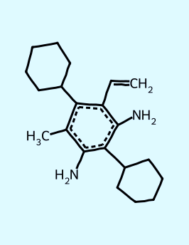 C=Cc1c(N)c(C2CCCCC2)c(N)c(C)c1C1CCCCC1